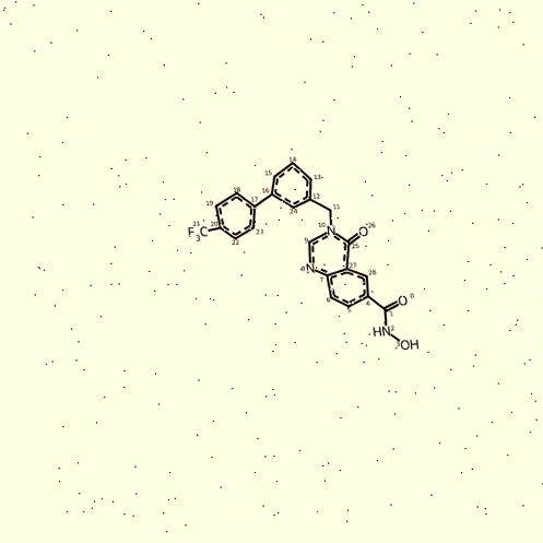 O=C(NO)c1ccc2ncn(Cc3cccc(-c4ccc(C(F)(F)F)cc4)c3)c(=O)c2c1